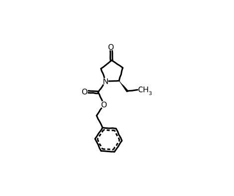 CC[C@@H]1CC(=O)CN1C(=O)OCc1ccccc1